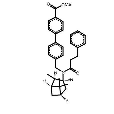 COC(=O)c1ccc(-c2ccc(CN(C(=O)CCc3ccccc3)[C@H]3C[C@@H]4C[C@@H]([C@H]3C)C4(C)C)cc2)cc1